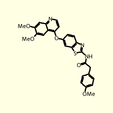 COc1ccc(CC(=O)Nc2nc3ccc(Oc4ccnc5cc(OC)c(OC)cc45)cc3s2)cc1